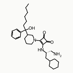 CCCCCCC(O)(c1ccccc1)C1CCCN(c2c(N[C@H](CN)CC3CCCCC3)c(=O)c2=O)C1